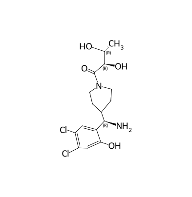 C[C@@H](O)[C@@H](O)C(=O)N1CCC([C@@H](N)c2cc(Cl)c(Cl)cc2O)CC1